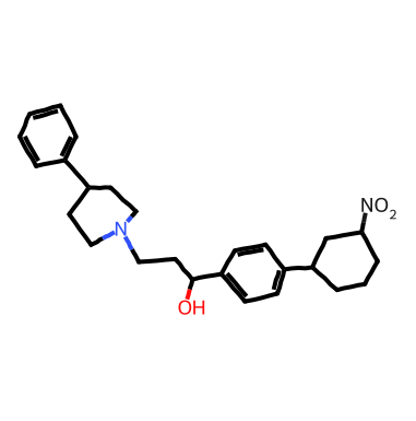 O=[N+]([O-])C1CCCC(c2ccc(C(O)CCN3CCC(c4ccccc4)CC3)cc2)C1